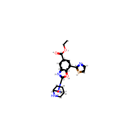 CCOC(=O)c1cc(-c2nccs2)c2oc(N3CC4CCC(C3)NC4)nc2c1